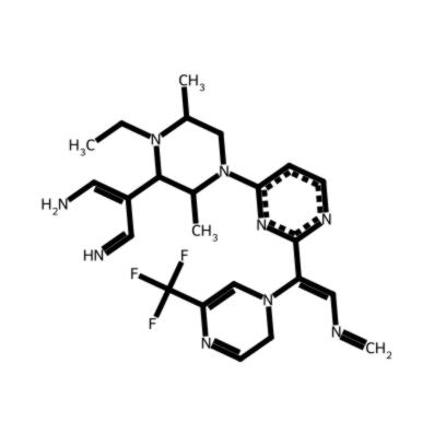 C=N/C=C(/c1nccc(N2CC(C)N(CC)C(/C(C=N)=C/N)C2C)n1)N1C=C(C(F)(F)F)N=CC1